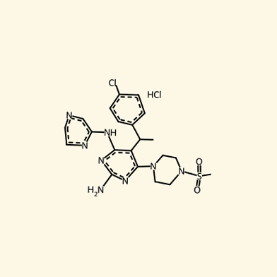 CC(c1ccc(Cl)cc1)c1c(Nc2cnccn2)nc(N)nc1N1CCN(S(C)(=O)=O)CC1.Cl